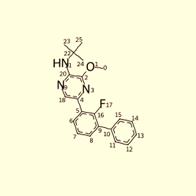 COc1nc(-c2cccc(-c3ccccc3)c2F)cnc1NC(C)(C)C